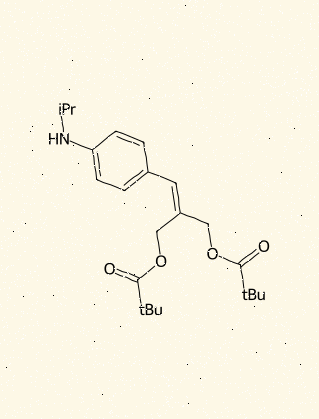 CC(C)Nc1ccc(C=C(COC(=O)C(C)(C)C)COC(=O)C(C)(C)C)cc1